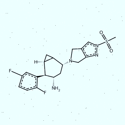 CS(=O)(=O)n1cc2c(n1)CN([C@@H]1C[C@H](N)[C@@H](c3cc(F)ccc3F)[C@H]3CC13)C2